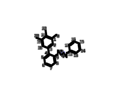 Cc1cc(-c2ccccc2/N=N/c2ccccc2)cc(C)c1C